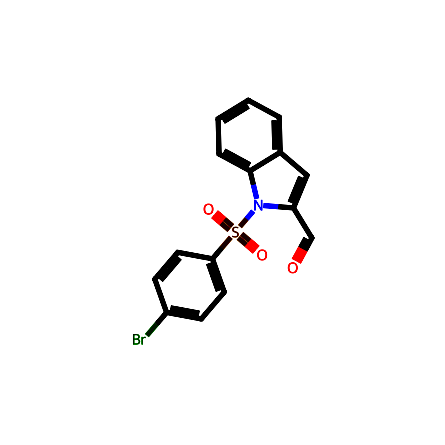 O=Cc1cc2ccccc2n1S(=O)(=O)c1ccc(Br)cc1